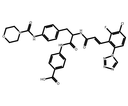 O=C(C=Cc1c(-n2cnnn2)ccc(Cl)c1F)NC(Cc1ccc(NC(=O)N2CCOCC2)cc1)C(=O)Nc1ccc(C(=O)O)cc1